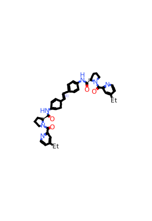 CCc1ccnc(C(=O)N2CCC[C@H]2C(=O)NC2=CCC(/C=C/c3ccc(NC(=O)[C@@H]4CCCN4C(=O)c4cc(CC)ccn4)cc3)C=C2)c1